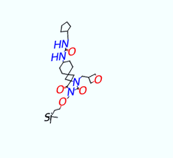 C[Si](C)(C)CCOCN1C(=O)N(CC2COC2)C2(CC3(CCC(NC(=O)NCC4CCCC4)CC3)C2)C1=O